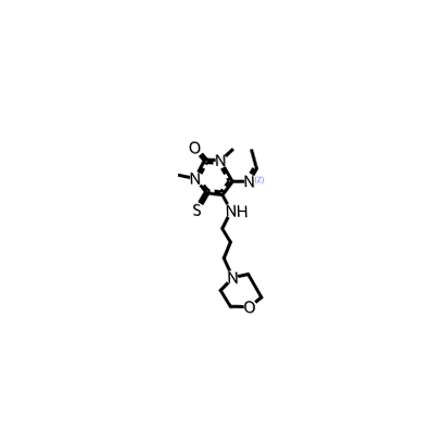 C/C=N\c1c(NCCCN2CCOCC2)c(=S)n(C)c(=O)n1C